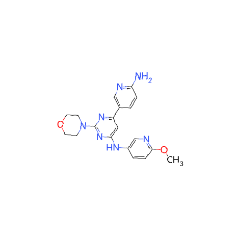 COc1ccc(Nc2cc(-c3ccc(N)nc3)nc(N3CCOCC3)n2)cn1